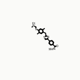 CCN(C)/C=N/c1cc(C)c(Cc2nc(-c3ccc(C(=O)NC)cc3)cs2)cc1C